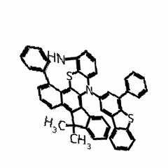 CC1(C)c2ccccc2-c2c3c4c5c(cccc5c21)-c1ccccc1Nc1cccc(c1S4)N3c1cc(-c2ccccc2)c2sc3ccccc3c2c1